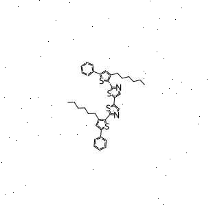 CCCCCCc1cc(-c2ccccc2)sc1-c1ncc(-c2cnc(-c3sc(-c4ccccc4)cc3CCCCCC)s2)s1